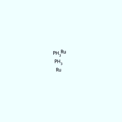 P.P.[Ru].[Ru]